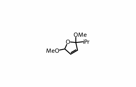 COC1C=CC(OC)(C(C)C)O1